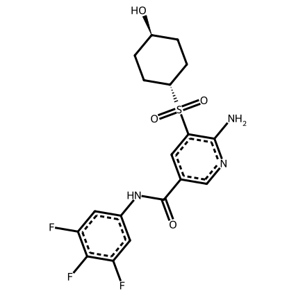 Nc1ncc(C(=O)Nc2cc(F)c(F)c(F)c2)cc1S(=O)(=O)[C@H]1CC[C@H](O)CC1